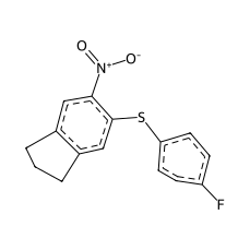 O=[N+]([O-])c1cc2c(cc1Sc1ccc(F)cc1)CCC2